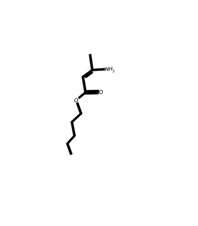 CCCCCOC(=O)C=C(C)N